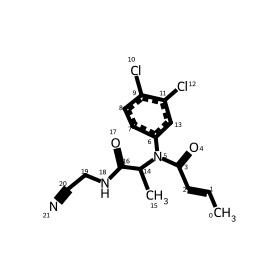 CC=CC(=O)N(c1ccc(Cl)c(Cl)c1)C(C)C(=O)NCC#N